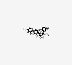 COc1ccc(F)cc1C(C)(C)CC(O)(CN1CCN(c2ncc(C(F)(F)F)cc2Cl)CC1)C(F)(F)F